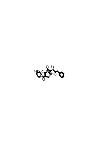 O=C(Cc1ccccc1)NC1C(=O)N2C(C(=O)O)=C(C(=O)N3CCCCC3)CS[C@@H]12